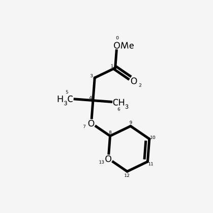 COC(=O)CC(C)(C)OC1CC=CCO1